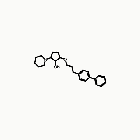 OC1C(OCCCc2ccc(-c3ccccc3)cc2)CCC1N1CCCCC1